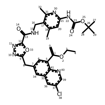 C=C(OCC)c1cc(Cc2nnc(C(=O)NCc3c(C)cc(NC(=O)OC(C)(C)C)nc3C)o2)cc2cc(Cl)cnc12